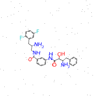 NC(CNC(=O)c1cccc(NC(=O)[C@@H](O)[C@H](N)Cc2ccccc2)c1)Cc1cc(F)ccc1F